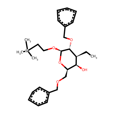 CC[C@H]1[C@@H](O)[C@@H](COCc2ccccc2)O[C@@H](OCC[Si](C)(C)C)[C@@H]1OCc1ccccc1